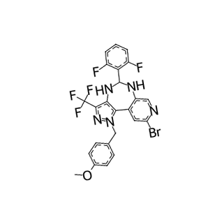 COc1ccc(Cn2nc(C(F)(F)F)c3c2-c2cc(Br)ncc2NC(c2c(F)cccc2F)N3)cc1